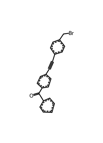 O=C(c1ccccc1)c1ccc(C#Cc2ccc(CBr)cc2)cc1